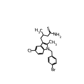 Cc1c(CC(C)CC(N)=S)c2cc(Cl)ccc2n1Cc1ccc(Br)cc1